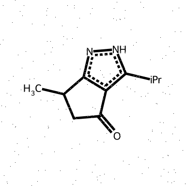 CC(C)c1[nH]nc2c1C(=O)CC2C